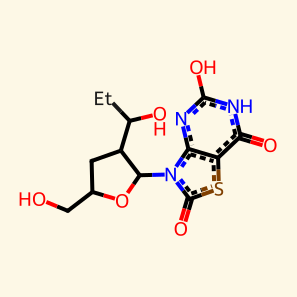 CCC(O)C1CC(CO)OC1n1c(=O)sc2c(=O)[nH]c(O)nc21